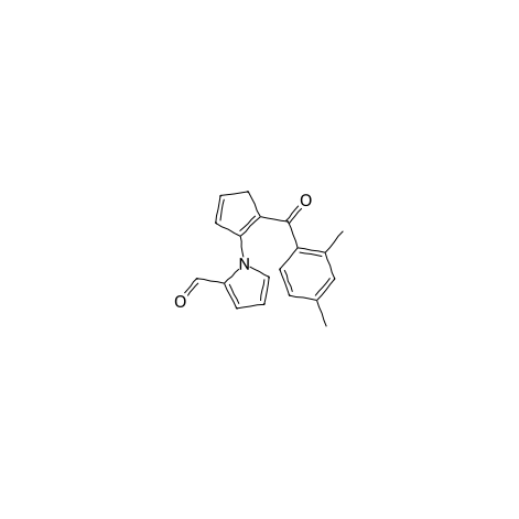 Cc1ccc(C(=O)C2=C(n3cccc3C=O)C=CC2)c(C)c1